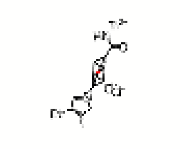 CCC1=C(C)C[Si](C23CCC4(C(=O)[NH][Ti+2])C5C46C2C536)=C1.[Cl-].[Cl-]